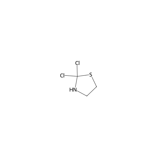 ClC1(Cl)NCCS1